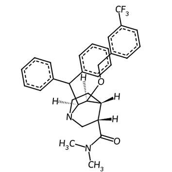 CN(C)C(=O)[C@@H]1CN2CC[C@H]1[C@H](OCc1cccc(C(F)(F)F)c1)[C@@H]2C(c1ccccc1)c1ccccc1